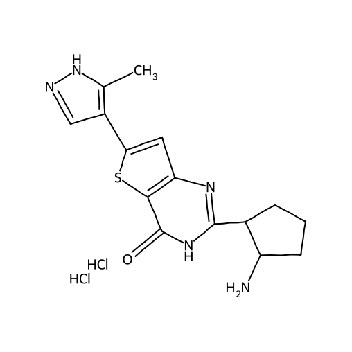 Cc1[nH]ncc1-c1cc2nc(C3CCCC3N)[nH]c(=O)c2s1.Cl.Cl